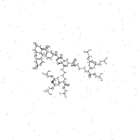 CC(C)COC(=O)CN(CC(=O)OCC(C)C)C(CCCCNC(=O)CCC(NC(=S)Nc1ccc(-c2c3ccc(=O)cc-3oc3cc(O)ccc23)c(C(=O)O)c1)C(=O)NCCCCC(C(=O)OCC(C)C)N(CC(=O)OCC(C)C)CC(=O)OCC(C)C)C(=O)OCC(C)C